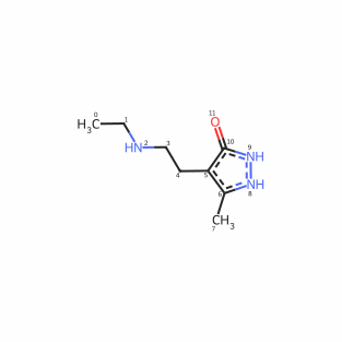 CCNCCc1c(C)[nH][nH]c1=O